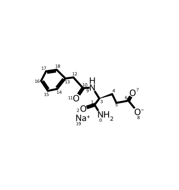 NC(=O)[C@H](CCC(=O)[O-])NC(=O)Cc1ccccc1.[Na+]